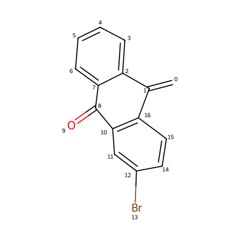 C=C1c2ccccc2C(=O)c2cc(Br)ccc21